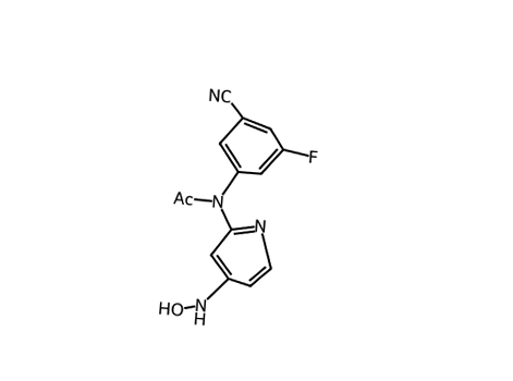 CC(=O)N(c1cc(F)cc(C#N)c1)c1cc(NO)ccn1